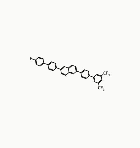 Fc1ccc(-c2ccc(-c3ccc4cc(-c5ccc(-c6cc(C(F)(F)F)cc(C(F)(F)F)c6)cc5)ccc4c3)cc2)cc1